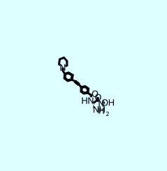 NC[C@H](NC(=O)c1ccc(C#Cc2ccc(CN3CCCCC3)cc2)cc1)C(=O)NO